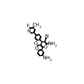 Cc1cc(-c2ccc(C3C(C#N)=C(N)Oc4c3c(=O)oc3ccc(N)cc43)cc2)cnc1F